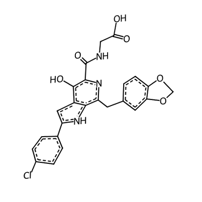 O=C(O)CNC(=O)c1nc(Cc2ccc3c(c2)OCO3)c2[nH]c(-c3ccc(Cl)cc3)cc2c1O